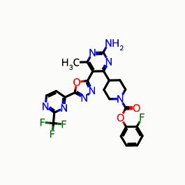 Cc1nc(N)nc(C2CCN(C(=O)Oc3ccccc3F)CC2)c1-c1nnc(-c2ccnc(C(F)(F)F)n2)o1